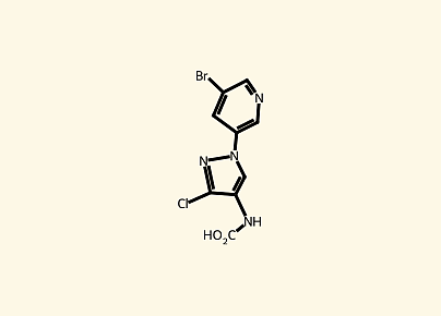 O=C(O)Nc1cn(-c2cncc(Br)c2)nc1Cl